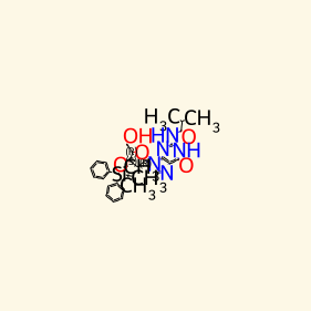 CC(C)C(=O)Nc1nc2c(ncn2[C@H]2C[C@H](O[Si](c3ccccc3)(c3ccccc3)C(C)(C)C)[C@@H](CO)O2)c(=O)[nH]1